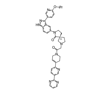 CC(C)Oc1ccc(-c2n[nH]c3ccc(N4CC[C@]5(CCN(CC(=O)N6CC=C(c7ccc(-c8ncccn8)cn7)CC6)C5)C4=O)cc23)cn1